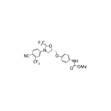 COC(=O)Nc1ccc(OC[C@@H]2CN(c3ccc(C#N)c(C(F)(F)F)c3)[C@@H](C(F)(F)F)O2)cc1